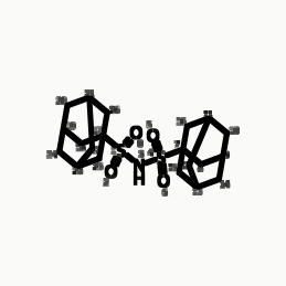 O=S(=O)(NS(=O)(=O)C12CC3CC(CC(C3)C1)C2)C12CC3CC(CC(C3)C1)C2